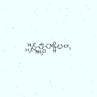 C=C(N)C(C)c1cnc(C2=CCN(C(=O)Nc3ccc(C(F)(F)F)cc3)CC2)c(Cl)c1